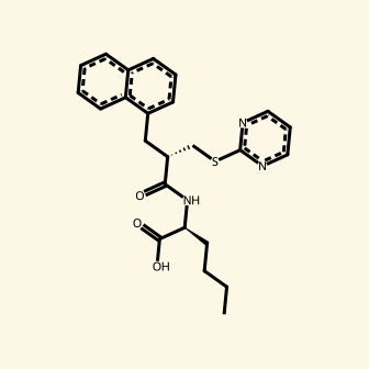 CCCC[C@H](NC(=O)[C@@H](CSc1ncccn1)Cc1cccc2ccccc12)C(=O)O